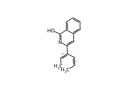 C/C=C\C(=C/C)c1cc2ccccc2c(O)n1